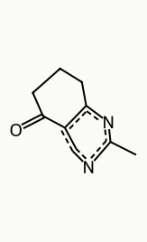 Cc1ncc2c(n1)CCCC2=O